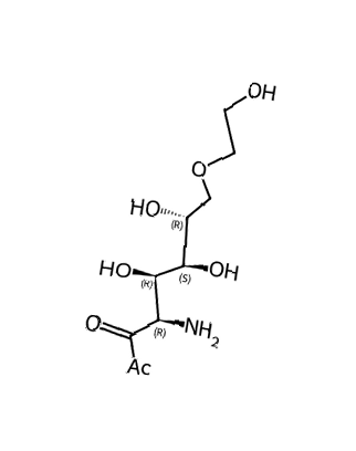 CC(=O)C(=O)[C@H](N)[C@@H](O)[C@H](O)[C@H](O)COCCO